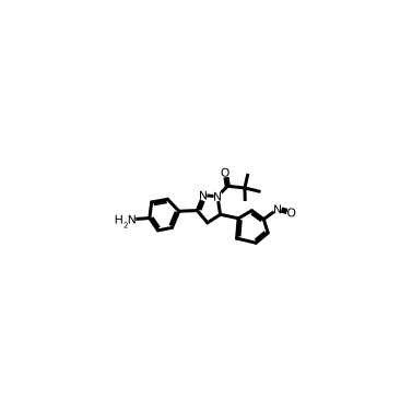 CC(C)(C)C(=O)N1N=C(c2ccc(N)cc2)CC1c1cccc(N=O)c1